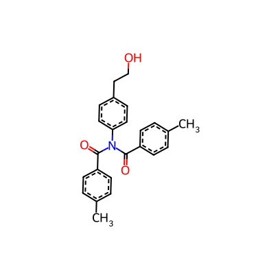 Cc1ccc(C(=O)N(C(=O)c2ccc(C)cc2)c2ccc(CCO)cc2)cc1